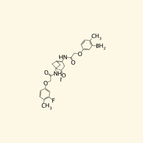 Bc1cc(OCC(=O)NC2=C3CC(NC(=O)COc4ccc(C)c(F)c4)(C3)C(OI)C2)ccc1C